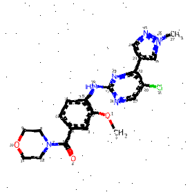 COc1cc(C(=O)N2CCOCC2)ccc1Nc1ncc(Cl)c(-c2cnn(C)c2)n1